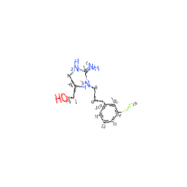 N=C1NCC(CO)N1CCc1cccc(F)c1